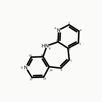 C1=Cc2cccnc2Nc2cnccc21